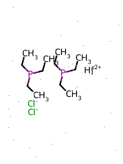 CCP(CC)CC.CCP(CC)CC.[Cl-].[Cl-].[Hf+2]